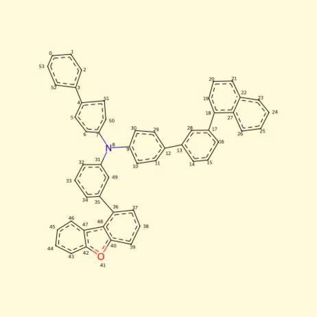 c1ccc(-c2ccc(N(c3ccc(-c4cccc(-c5cccc6ccccc56)c4)cc3)c3cccc(-c4cccc5oc6ccccc6c45)c3)cc2)cc1